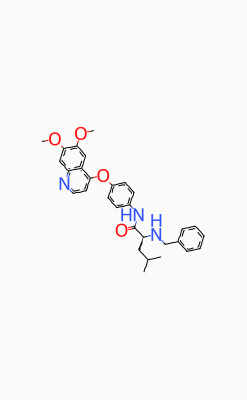 COc1cc2nccc(Oc3ccc(NC(=O)[C@H](CC(C)C)NCc4ccccc4)cc3)c2cc1OC